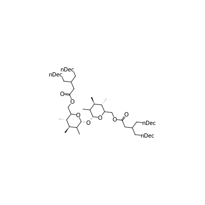 CCCCCCCCCCCC(CCCCCCCCCCC)CC(=O)OCC1O[C@H](O[C@H]2OC(COC(=O)CC(CCCCCCCCCCC)CCCCCCCCCCC)[C@@H](C)[C@H](C)C2C)C(C)[C@@H](C)[C@@H]1C